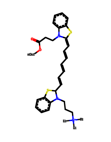 CCCCCCCCOC(=O)CCN1C(=CC=CC=CC=CC2Sc3ccccc3N2CCC[N+](CC)(CC)CC)Sc2ccccc21